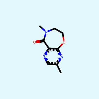 Cc1cnc2c(n1)OCCN(C)C2=O